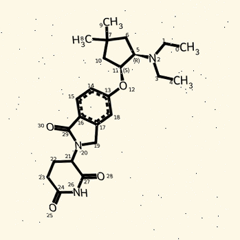 CCN(CC)[C@@H]1CC(C)(C)C[C@@H]1Oc1ccc2c(c1)CN(C1CCC(=O)NC1=O)C2=O